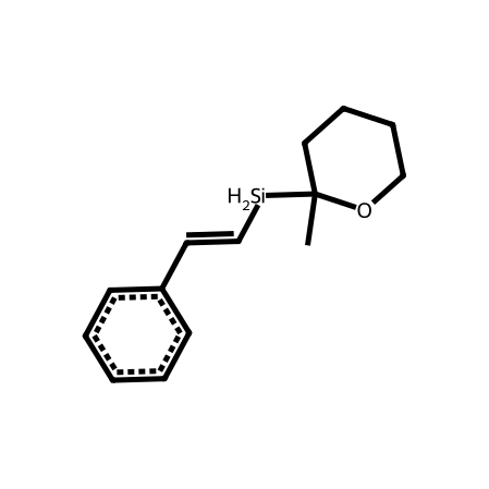 CC1([SiH2]C=Cc2ccccc2)CCCCO1